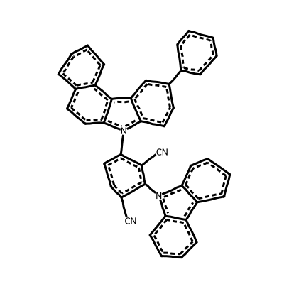 N#Cc1ccc(-n2c3ccc(-c4ccccc4)cc3c3c4ccccc4ccc32)c(C#N)c1-n1c2ccccc2c2ccccc21